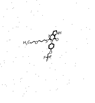 CCCOCCCSc1nc2cc[nH]c2c(=O)n1-c1ccc(OCC(F)(F)F)cc1